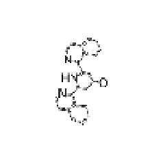 O=c1cc(-c2nccc3ccccc23)[nH]c(-c2nccc3ccccc23)c1